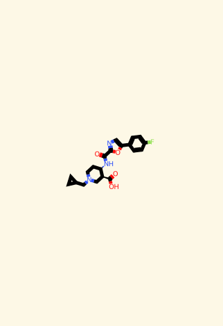 O=C(N[C@H]1CCN(CC2CC2)C[C@@H]1C(=O)O)c1ncc(-c2ccc(F)cc2)o1